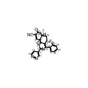 C[C@H]1C(=O)C(C#N)=C[C@@]2(C)c3nc(-c4ccnnc4)nc(-c4ccccc4F)c3CC[C@H]12